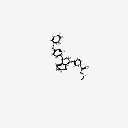 CSCC(=O)N1CCC(n2nc(-c3ccc(Oc4ccccc4)cc3)c3cncnc32)C1